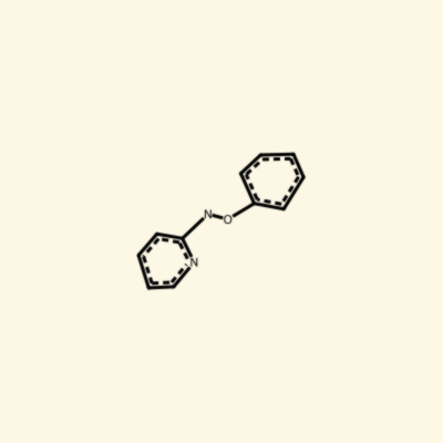 c1ccc(O[N]c2ccccn2)cc1